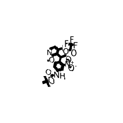 COc1nccc(I)c1C(COC(=O)C(F)(F)F)c1ccc(NC(=O)OC(C)(C)C)cc1[N+](=O)[O-]